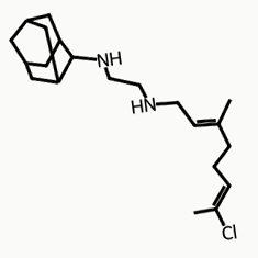 C/C(Cl)=C\CC/C(C)=C/CNCCNC1C2CC3CC(C2)CC1C3